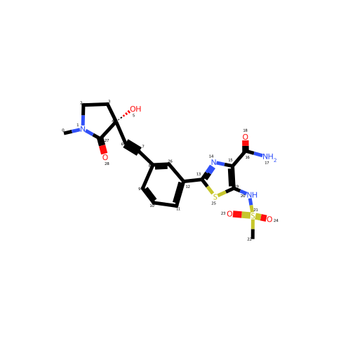 CN1CC[C@@](O)(C#Cc2cccc(-c3nc(C(N)=O)c(NS(C)(=O)=O)s3)c2)C1=O